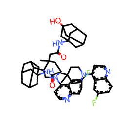 CC1(CC(=O)NC23CC4CC(C2)C(C2CN(c5ccnc6ccc(F)cc56)CCC2(C)CC(=O)NC25CC6CC(CC(O)(C6)C2)C5)C(C4)C3)CCN(c2ccnc3ccc(F)cc23)CC1